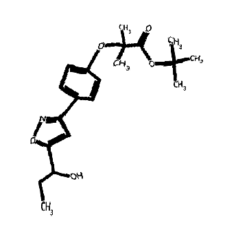 CCC(O)c1cc(-c2ccc(OC(C)(C)C(=O)OC(C)(C)C)cc2)no1